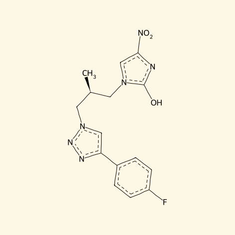 C[C@H](Cn1cc(-c2ccc(F)cc2)nn1)Cn1cc([N+](=O)[O-])nc1O